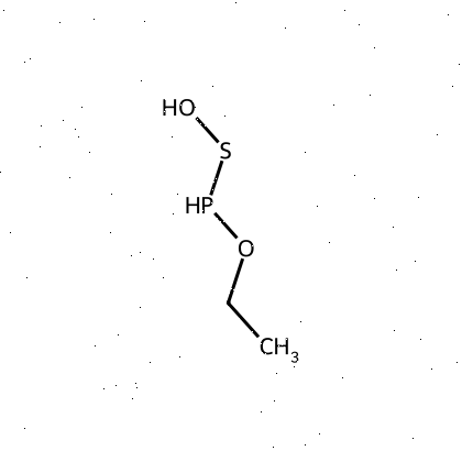 CCOPSO